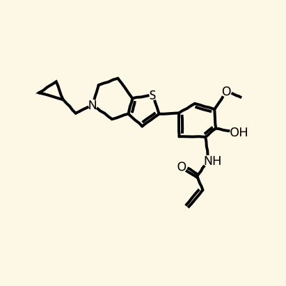 C=CC(=O)Nc1cc(-c2cc3c(s2)CCN(CC2CC2)C3)cc(OC)c1O